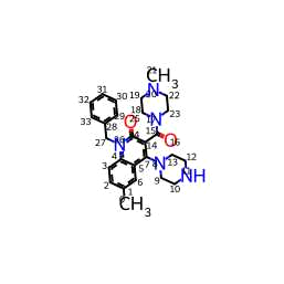 Cc1ccc2c(c1)c(N1CCNCC1)c(C(=O)N1CCN(C)CC1)c(=O)n2Cc1ccccc1